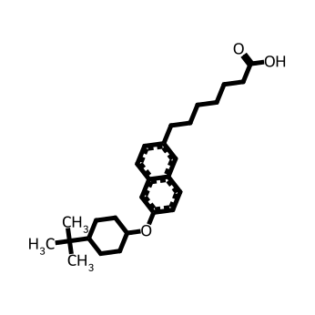 CC(C)(C)C1CCC(Oc2ccc3cc(CCCCCCC(=O)O)ccc3c2)CC1